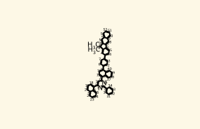 CC1(C)c2cc(-c3ccc(-c4ccc(-c5cc(-c6cccc7ccccc67)nc(-c6ccccc6)n5)c5ccccc45)cc3)ccc2-c2cc3ccccc3cc21